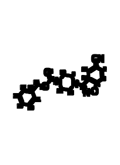 N#Cc1ccc2onc(N3CCN(C(=O)OCc4ccccc4)CC3)c2c1